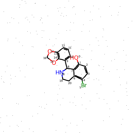 Oc1ccc(Br)c2c1C(c1cccc3c1OCO3)NCC2